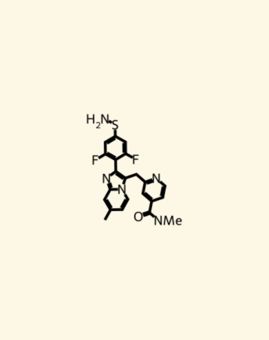 CNC(=O)c1ccnc(Cc2c(-c3c(F)cc(SN)cc3F)nc3cc(C)ccn23)c1